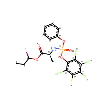 CCC(I)OC(=O)[C@H](C)NP(=O)(Oc1ccccc1)Oc1c(F)c(F)c(F)c(F)c1F